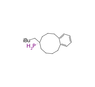 CCC(C)C[C@]1(P)CCCCc2ccccc2CCC1